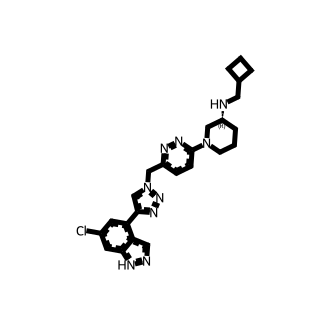 Clc1cc(-c2cn(Cc3ccc(N4CCC[C@@H](NCC5CCC5)C4)nn3)nn2)c2cn[nH]c2c1